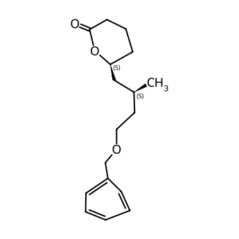 C[C@@H](CCOCc1ccccc1)C[C@@H]1CCCC(=O)O1